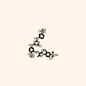 Cc1nn(-c2cc(Cl)c(S(=O)(=O)O)cc2Cl)c(O)c1/N=N/c1cc(Nc2nc(Cl)nc(Nc3cccc(S(=O)(=O)O)c3)n2)ccc1S(=O)(=O)O